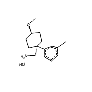 CO[C@H]1CC[C@@](CN)(c2cccc(C)c2)CC1.Cl